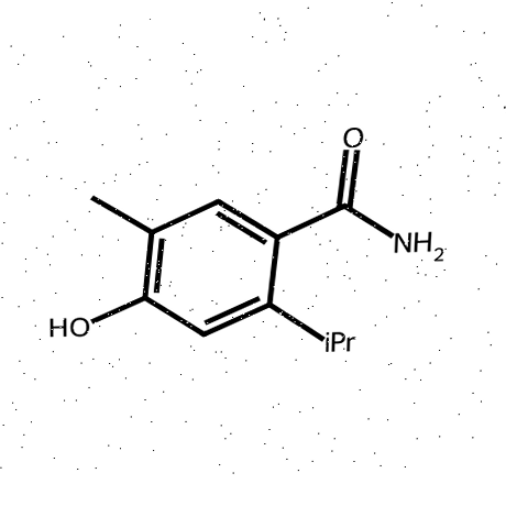 Cc1cc(C(N)=O)c(C(C)C)cc1O